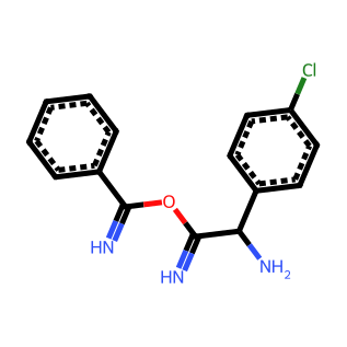 N=C(OC(=N)C(N)c1ccc(Cl)cc1)c1ccccc1